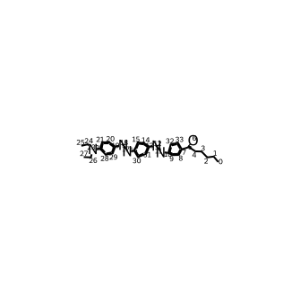 CCCCCC(=O)c1ccc(N=Nc2ccc(N=Nc3ccc(N(CC)CC)cc3)cc2)cc1